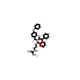 C[C@H](c1ccc(Oc2ccccc2)cc1)N(C(=O)C(c1ccccc1)c1ccccc1)[C@H](CCCNC(=N)N)C(N)=O